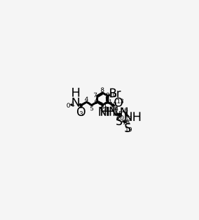 CNC(=O)CCc1ccc(Br)c(C(=O)Nc2n[nH]c(=S)s2)c1N